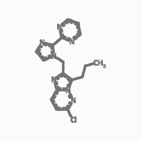 CCCc1c(Cn2ccnc2-c2ncccn2)nc2ccc(Cl)nn12